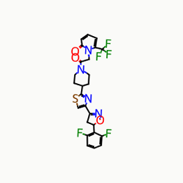 O=C(Cn1c(C(F)(F)F)cccc1=O)N1CCC(c2nc(C3=NOC(c4c(F)cccc4F)C3)cs2)CC1